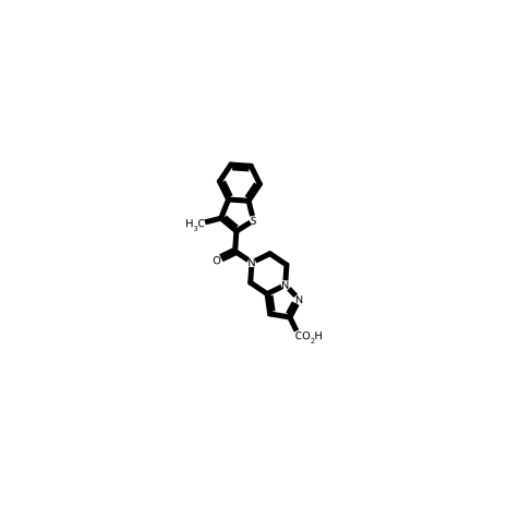 Cc1c(C(=O)N2CCn3nc(C(=O)O)cc3C2)sc2ccccc12